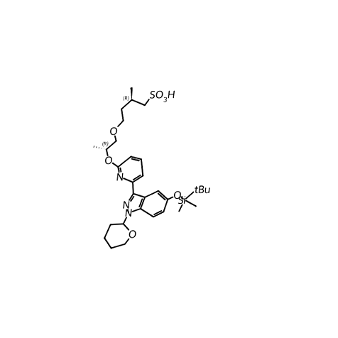 C[C@H](CCOC[C@@H](C)Oc1cccc(-c2nn(C3CCCCO3)c3ccc(O[Si](C)(C)C(C)(C)C)cc23)n1)CS(=O)(=O)O